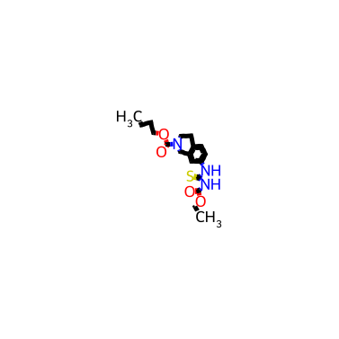 CCCCOC(=O)N1CCc2ccc(NC(=S)NC(=O)OCC)cc2C1